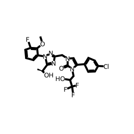 COc1c(F)cccc1-n1nc(Cn2cc(-c3ccc(Cl)cc3)n(CC(O)C(F)(F)F)c2=O)nc1[C@H](C)O